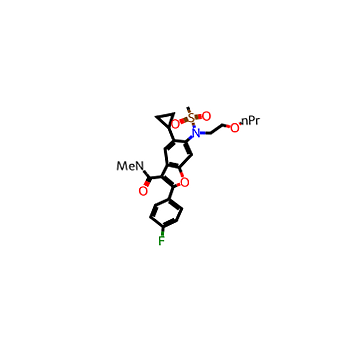 CCCOCCN(c1cc2oc(-c3ccc(F)cc3)c(C(=O)NC)c2cc1C1CC1)S(C)(=O)=O